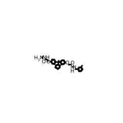 Cc1cccc(C=NNC(=O)COc2ccc(C(C)(c3ccccc3)c3ccc(OCC(=O)NN)cc3)cc2)c1